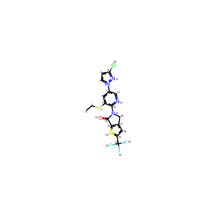 CCSc1cc(-n2ccc(Cl)n2)cnc1N1Cc2cc(C(F)(F)F)sc2C1=O